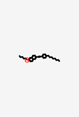 CCCCCCCCc1ccc(C#Cc2ccc3cc(OCCCCC)ccc3c2)cc1